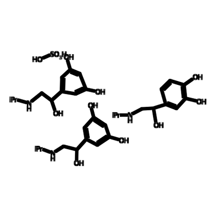 CC(C)NCC(O)c1cc(O)cc(O)c1.CC(C)NCC(O)c1cc(O)cc(O)c1.CC(C)NCC(O)c1ccc(O)c(O)c1.O=S(=O)(O)O